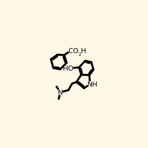 CN(C)CCc1c[nH]c2cccc(O)c12.O=C(O)c1ccccc1